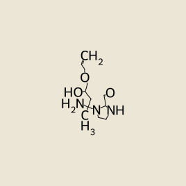 C=CCOCC(O)CC(C)(N)N1CCNC1C=O